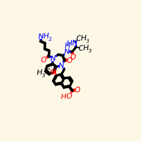 CN[C@@H](C)C(=O)NC1CN(C(=O)CCCCN)c2ccccc2N(Cc2c(OC)ccc3cc(C(=O)O)ccc23)C1=O